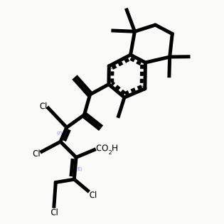 C=C(C(=C)c1cc2c(cc1C)C(C)(C)CCC2(C)C)/C(Cl)=C(Cl)\C(C(=O)O)=C(\Cl)CCl